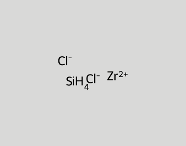 [Cl-].[Cl-].[SiH4].[Zr+2]